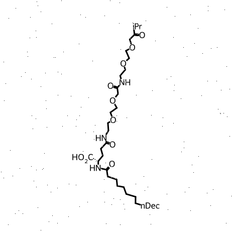 CCCCCCCCCCCCCCCCCC(=O)N[C@@H](CCC(=O)NCCOCCOCC(=O)NCCOCCOCC(=O)C(C)C)C(=O)O